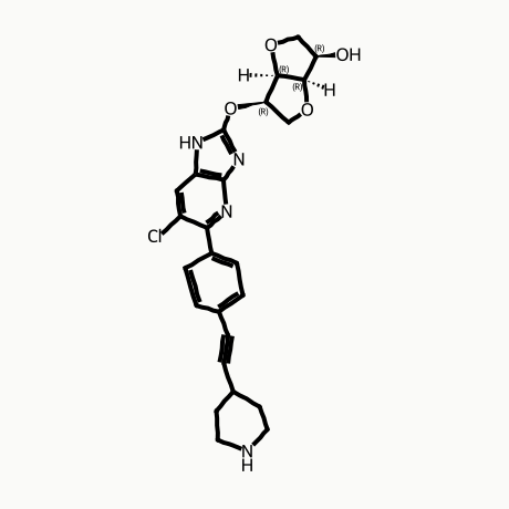 O[C@@H]1CO[C@H]2[C@@H]1OC[C@H]2Oc1nc2nc(-c3ccc(C#CC4CCNCC4)cc3)c(Cl)cc2[nH]1